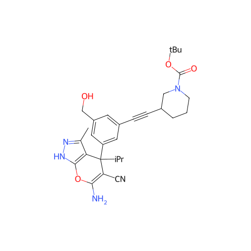 Cc1n[nH]c2c1C(c1cc(C#CC3CCCN(C(=O)OC(C)(C)C)C3)cc(CO)c1)(C(C)C)C(C#N)=C(N)O2